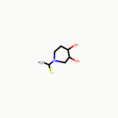 CC(S)N1CCC(O)C(O)C1